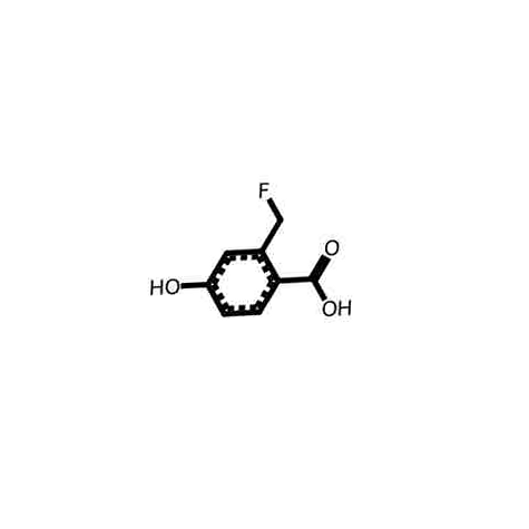 O=C(O)c1ccc(O)cc1CF